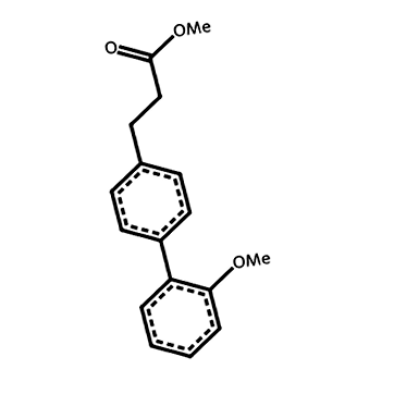 COC(=O)CCc1ccc(-c2ccccc2OC)cc1